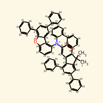 CC1(C)c2ccc(N(c3ccccc3-c3ccccc3)c3cccc4oc5c(-c6ccccc6)cc(-c6ccccc6)cc5c34)cc2-c2c(-c3ccccc3)cc(-c3ccccc3)cc21